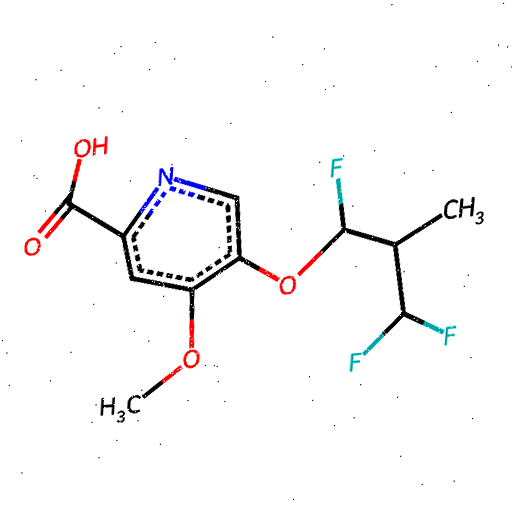 COc1cc(C(=O)O)ncc1OC(F)C(C)C(F)F